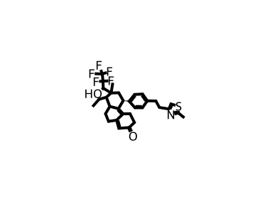 CCC1C2CCC3=CC(=O)CCC3=C2[C@@H](c2ccc(CCc3csc(C)n3)cc2)CC1(C)C(O)C(F)(F)C(F)(F)F